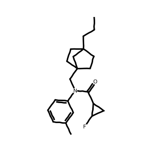 CCCC12CCC(CN(C(=O)C3CC3F)c3cccc(C)c3)(CC1)C2